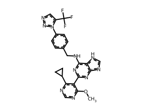 COc1ncnc(C2CC2)c1-c1nc(NCc2ccc(-n3nncc3C(F)(F)F)cc2)c2[nH]cnc2n1